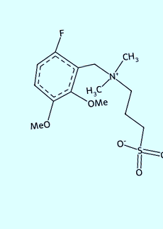 COc1ccc(F)c(C[N+](C)(C)CCCS(=O)(=O)[O-])c1OC